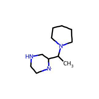 CC(C1CNCC[N]1)N1CCCCC1